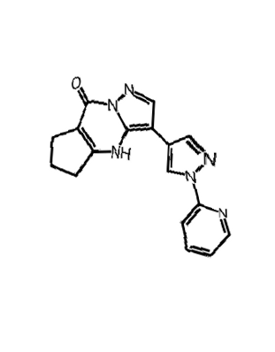 O=c1c2c([nH]c3c(-c4cnn(-c5ccccn5)c4)cnn13)CCC2